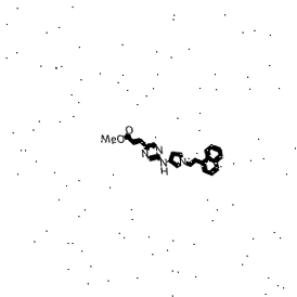 COC(=O)/C=C/c1cnc(N[C@@H]2CCN(CCc3cccc4ccccc34)C2)cn1